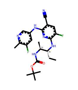 CC[C@@H](Nc1nc(Nc2cnc(C)c(F)c2)c(C#N)cc1F)[C@H](C)NC(=O)OC(C)(C)C